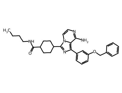 CCCCNC(=O)C1CCC(c2nc(-c3cccc(OCc4ccccc4)c3)c3c(N)nccn23)CC1